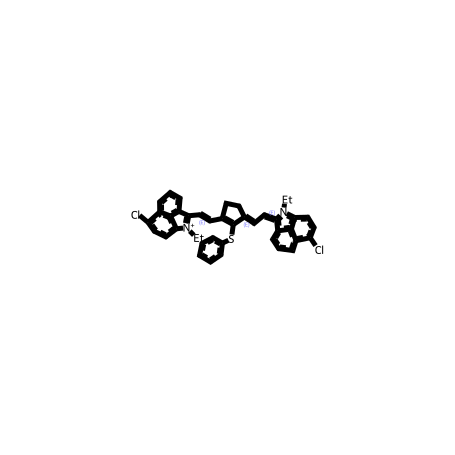 CCn1/c(=C/C=C2\CCC(/C=C/C3=[N+](CC)c4ccc(Cl)c5cccc3c45)=C2Sc2ccccc2)c2cccc3c(Cl)ccc1c32